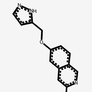 Cc1cc2cc(OCc3ccn[nH]3)ccc2cn1